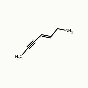 CC#CC=CCN